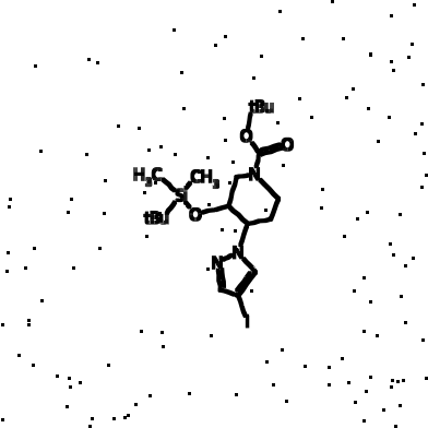 CC(C)(C)OC(=O)N1CCC(n2cc(I)cn2)C(O[Si](C)(C)C(C)(C)C)C1